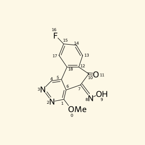 COc1nncc2c1C(=NO)C(=O)c1ccc(F)cc1-2